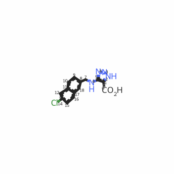 O=C(O)c1[nH]nnc1NCc1ccc2cc(Cl)ccc2c1